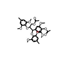 COc1cc(C(Oc2c(OC)cc(C)cc2OC)C(COC(C)=O)Oc2c(OC)cc(C)cc2OC)cc(OC)c1OC(C)=O